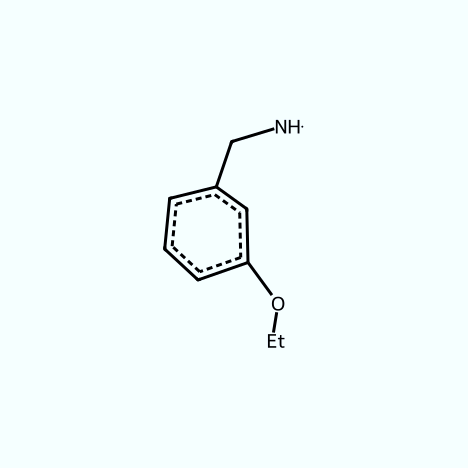 CCOc1cccc(C[NH])c1